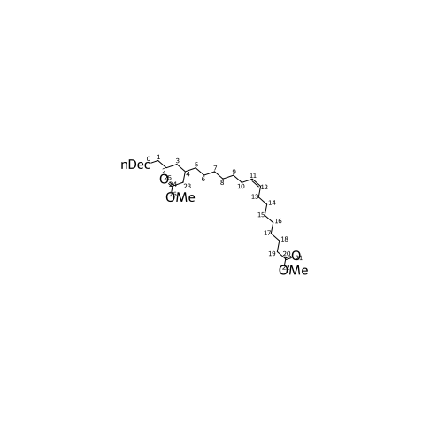 CCCCCCCCCCCCCC(CCCCCC/C=C\CCCCCCCC(=O)OC)CC(=O)OC